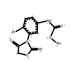 CC(C)c1ccc(NC(=O)OC(C)(C)C)cc1N1C(=N)SCC1=O